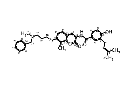 CC(C)=CCc1cc(C(=O)Nc2cc3ccc(OCCCN(C)Cc4ccccc4)c(C)c3oc2=O)ccc1O